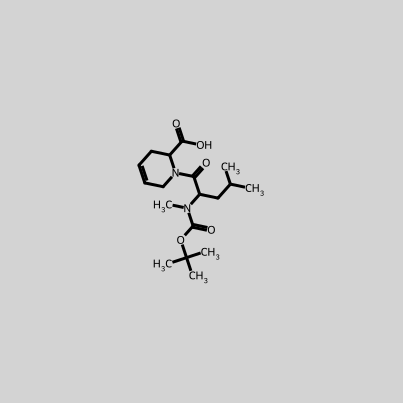 CC(C)CC(C(=O)N1CC=CCC1C(=O)O)N(C)C(=O)OC(C)(C)C